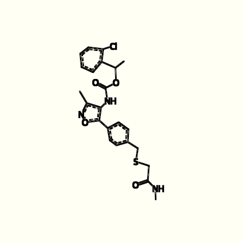 CNC(=O)CSCc1ccc(-c2onc(C)c2NC(=O)OC(C)c2ccccc2Cl)cc1